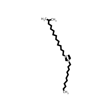 CCCCCCCCCCCn1cc[n+](CCCCCCCCCCCCCC(C)C)c1